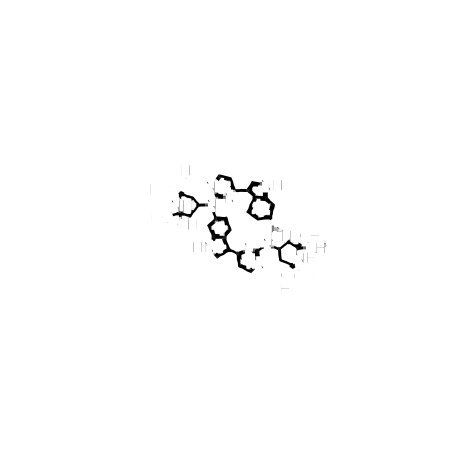 COc1ccc2c(-c3ccnc(N(c4ccc5c(-c6ccnc(NC7CC(C)(C)NC(C)(C)C7)n6)c[nH]c5c4)C4CC(C)(C)NC(C)(C)C4)n3)c[nH]c2c1